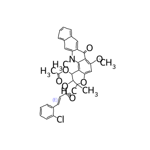 COc1cc2c(c3c1c(=O)c1cc4ccccc4cc1n3C)C(OC(C)=O)C(OC(=O)/C=C/c1ccccc1Cl)C(C)(C)O2